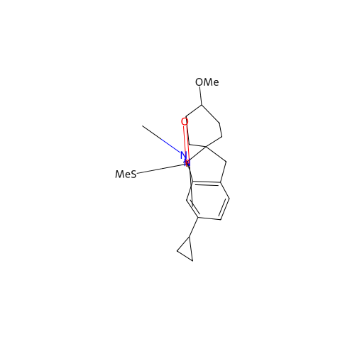 COC1CCC2(CC1)Cc1ccc(C3CC3)cc1C21N=C(SC)N(C)C1=O